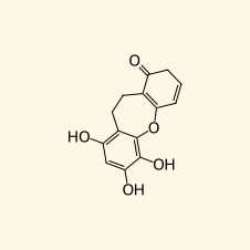 O=C1CC=CC2=C1CCc1c(O)cc(O)c(O)c1O2